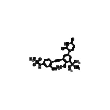 COc1c(C#Cc2ccc(NS(C)(=O)=O)cc2O)cc(-n2ccc(=O)[nH]c2=O)cc1C(C)(C)C